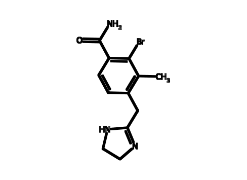 Cc1c(CC2=NCCN2)ccc(C(N)=O)c1Br